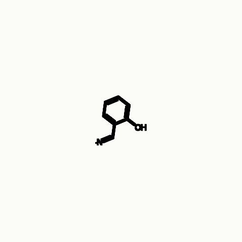 [N]=Cc1ccccc1O